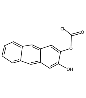 O=C(Cl)Oc1cc2cc3ccccc3cc2cc1O